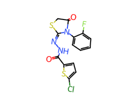 O=C(N/N=C1/SCC(=O)N1c1ccccc1F)c1ccc(Cl)s1